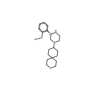 CC(C)Oc1ccccc1[C@@H]1CN(C2CCC3(CCOCC3)CC2)CCN1